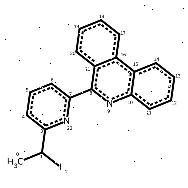 CC(I)c1cccc(-c2nc3ccccc3c3ccccc23)n1